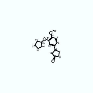 COc1ccc([C@H]2CCC(=O)C2)cc1OC1CCCC1